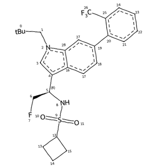 CC(C)(C)Cn1cc([C@H](CF)NS(=O)(=O)C2CCC2)c2ccc(-c3ccccc3C(F)(F)F)cc21